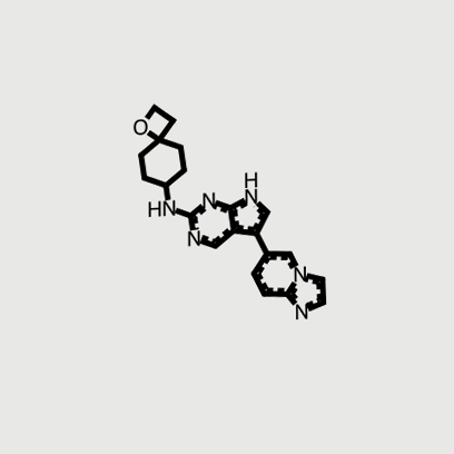 c1cn2cc(-c3c[nH]c4nc(NC5CCC6(CCO6)CC5)ncc34)ccc2n1